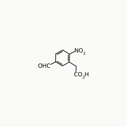 O=Cc1ccc([N+](=O)[O-])c(CC(=O)O)c1